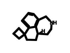 c1cc2c3c(c1)C1(CCC1)CC[C@@H]3CCNC2